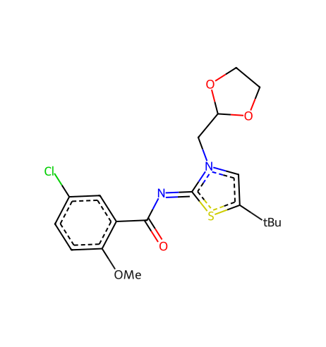 COc1ccc(Cl)cc1C(=O)/N=c1\sc(C(C)(C)C)cn1CC1OCCO1